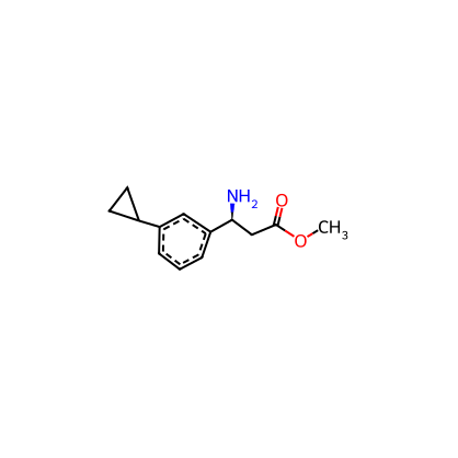 COC(=O)C[C@H](N)c1cccc(C2CC2)c1